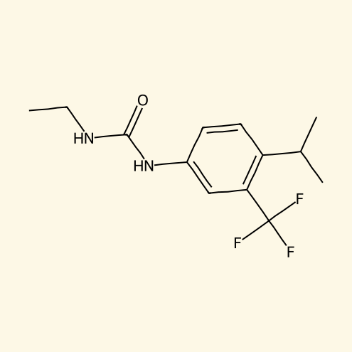 CCNC(=O)Nc1ccc(C(C)C)c(C(F)(F)F)c1